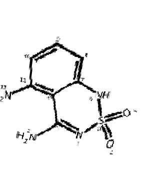 NC1=NS(=O)(=O)Nc2cccc(N)c21